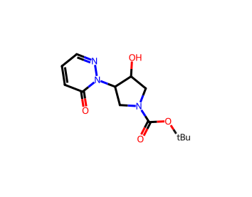 CC(C)(C)OC(=O)N1CC(O)C(n2ncccc2=O)C1